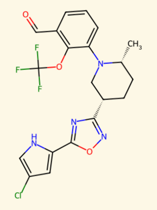 C[C@@H]1CC[C@H](c2noc(-c3cc(Cl)c[nH]3)n2)CN1c1cccc(C=O)c1OC(F)(F)F